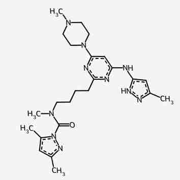 Cc1cc(Nc2cc(N3CCN(C)CC3)nc(CCCCN(C)C(=O)n3nc(C)cc3C)n2)[nH]n1